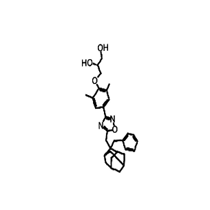 Cc1cc(-c2noc(CC3(Cc4ccccc4)C4CC5CC(C4)CC3C5)n2)cc(C)c1OC[C@@H](O)CO